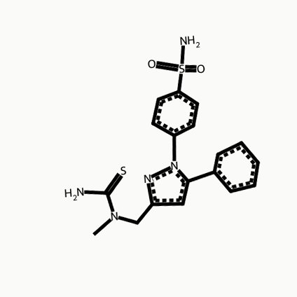 CN(Cc1cc(-c2ccccc2)n(-c2ccc(S(N)(=O)=O)cc2)n1)C(N)=S